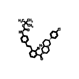 CC(C)(C)OC(=O)Nc1ccc(/C=C/c2cccc(C(=O)N3CCN4C[C@@H](c5ccc(Cl)cc5)CC[C@@H]4C3)c2Br)cc1